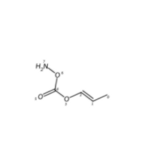 CC=COC(=O)ON